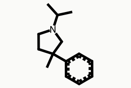 CC(C)N1CCC(C)(c2ccccc2)C1